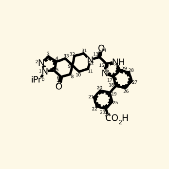 CC(C)n1ncc2c1C(=O)CC1(CCN(C(=O)c3nc4c(-c5cccc(C(=O)O)c5)cccc4[nH]3)CC1)C2